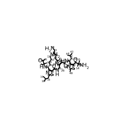 CC(=O)C(C)(C)N[C@@H](CCCCN)c1nc(CC(C)C)sc1C(=O)N[C@@H](C)c1nc(CCCCN)sc1C(=O)N[C@@H](CC(C)C)c1nc(C)sc1C(=O)C(C)(C)N